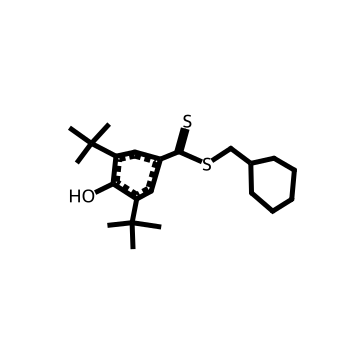 CC(C)(C)c1cc(C(=S)SCC2CCCCC2)cc(C(C)(C)C)c1O